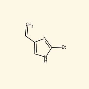 C=Cc1c[nH]c(CC)n1